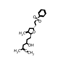 C=C=C(C)CC(O)CC[C@@H]1O[C@@H](CCS(=O)(=O)c2ccccc2)CC1=C